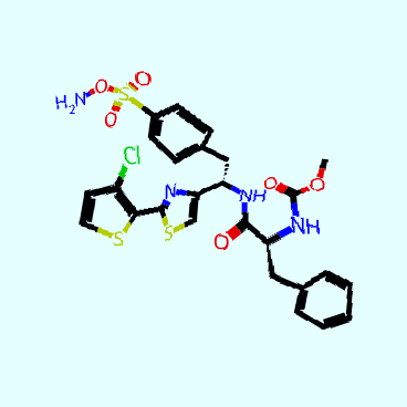 COC(=O)N[C@@H](Cc1ccccc1)C(=O)N[C@@H](Cc1ccc(S(=O)(=O)ON)cc1)c1csc(-c2sccc2Cl)n1